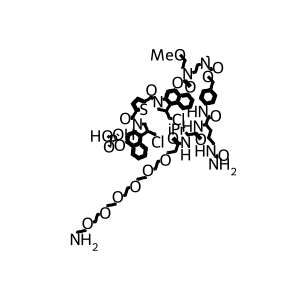 COCCN(CCN(C)C(=O)OCc1ccc(NC(=O)C(CCCNC(N)=O)NC(=O)C(NC(=O)CCOCCOCCOCCOCCOCCOCCN)C(C)C)cc1)C(=O)Oc1cc2c(c3ccccc13)C(CCl)CN2C(=O)c1ccc(C(=O)N2CC(CCl)c3c2cc(OP(=O)(O)O)c2ccccc32)s1